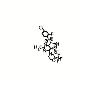 Cc1nc(C(C#N)S(=O)(=O)c2ccc(Cl)cc2F)c([N+](=O)[O-])c(N2CCO[C@H](C(F)(F)F)C2)n1